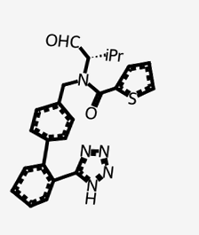 CC(C)[C@@H](C=O)N(Cc1ccc(-c2ccccc2-c2nnn[nH]2)cc1)C(=O)c1cccs1